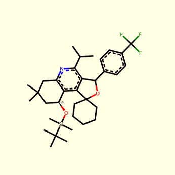 CC(C)c1nc2c(c3c1C(c1ccc(C(F)(F)F)cc1)OC31CCCCC1)[C@@H](O[Si](C)(C)C(C)(C)C)CC(C)(C)C2